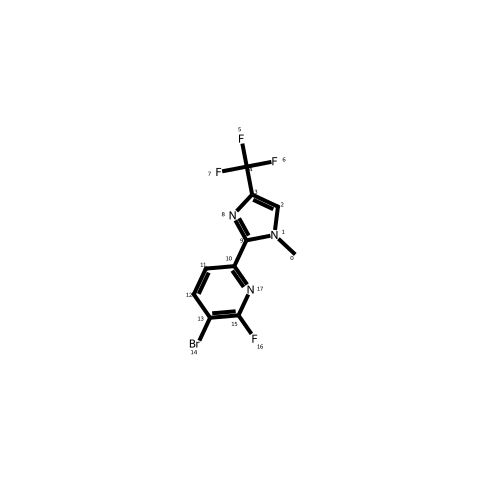 Cn1cc(C(F)(F)F)nc1-c1ccc(Br)c(F)n1